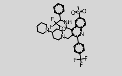 CS(=O)(=O)c1ccc2nc(-c3ccc(C(F)(F)F)cc3)c(CN3CCC(N4CCCCC4)CC3)c(C(=O)NC(c3ccccc3)C(F)(F)F)c2c1